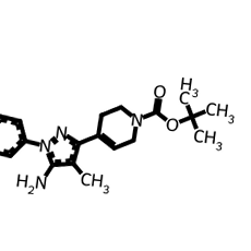 Cc1c(C2=CCN(C(=O)OC(C)(C)C)CC2)nn(-c2ccccc2)c1N